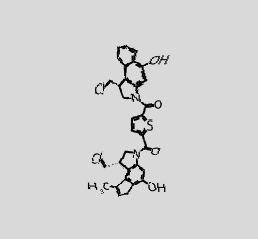 CC1=CCc2c(O)cc3c(c21)[C@H](CCl)CN3C(=O)c1ccc(C(=O)N2C[C@@H](CCl)c3c2cc(O)c2ccccc32)s1